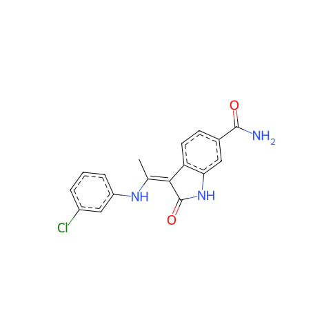 C/C(Nc1cccc(Cl)c1)=C1/C(=O)Nc2cc(C(N)=O)ccc21